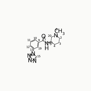 CN1CCC[C@@H](NC(=O)c2cccc(-n3cnnn3)c2)C1